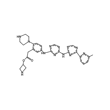 Cc1cccc(-c2nccc(Nc3ccnc(Nc4ccc(N5CCNCC5)c(CC(=O)OC5CNC5)c4)n3)n2)n1